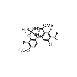 BC(B)(B)Oc1c(Oc2cc(Cl)c(C(F)F)c(F)c2C(=O)OC)ccc(OC(F)(F)F)c1F